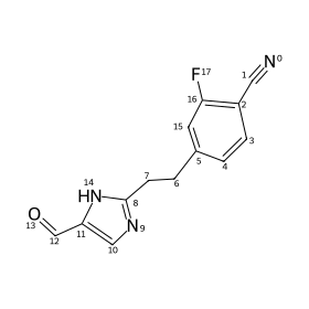 N#Cc1ccc(CCc2ncc(C=O)[nH]2)cc1F